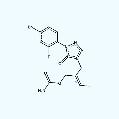 NC(=O)OC/C(=C/F)Cn1nnn(-c2ccc(Br)cc2F)c1=O